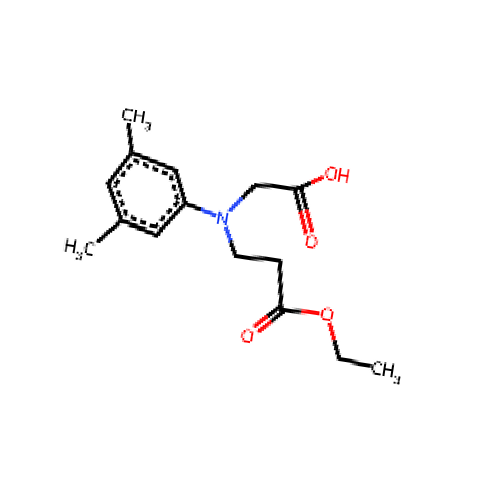 CCOC(=O)CCN(CC(=O)O)c1cc(C)cc(C)c1